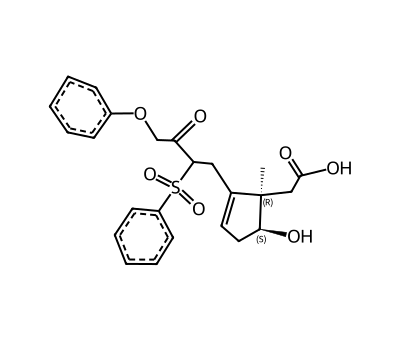 C[C@@]1(CC(=O)O)C(CC(C(=O)COc2ccccc2)S(=O)(=O)c2ccccc2)=CC[C@@H]1O